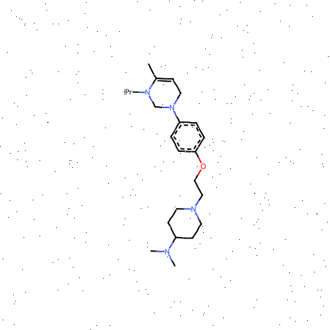 CC1=CCN(c2ccc(OCCN3CCC(N(C)C)CC3)cc2)CN1C(C)C